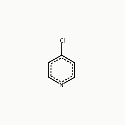 Clc1c[c]ncc1